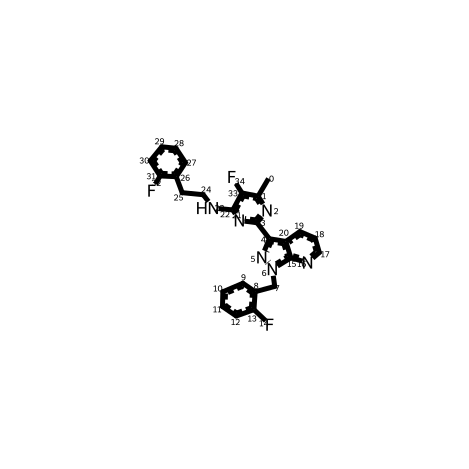 Cc1nc(-c2nn(Cc3ccccc3F)c3ncccc23)nc(NCCc2ccccc2F)c1F